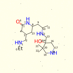 CCNCC1CC(=O)NC(CC(C)NCC2(O)CCNCC2(C)C)C1